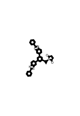 O=C1C=CC(=O)N1C1CC1c1cc(-c2ccc3nc(-c4ccccc4)sc3c2)cc(-c2ccc3nc(-c4ccccc4)sc3c2)c1